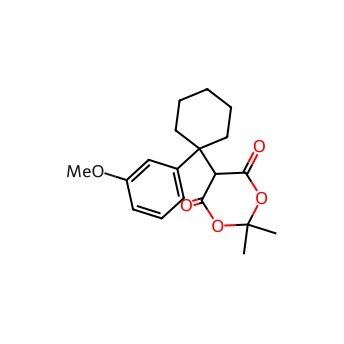 COc1cccc(C2(C3C(=O)OC(C)(C)OC3=O)CCCCC2)c1